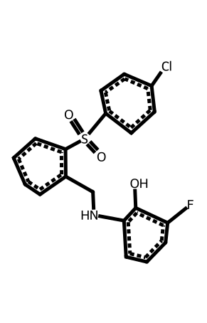 O=S(=O)(c1ccc(Cl)cc1)c1ccccc1CNc1cccc(F)c1O